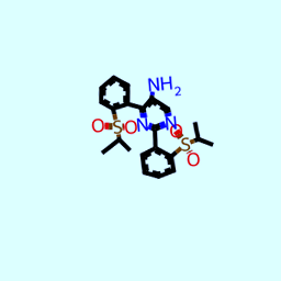 CC(C)S(=O)(=O)c1ccccc1-c1ncc(N)c(-c2ccccc2S(=O)(=O)C(C)C)n1